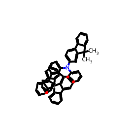 CC1(C)c2ccccc2-c2ccc(N(c3ccccc3)c3cccc(-c4ccccc4)c3-c3cccc4c3[Si]3(c5ccccc5-c5ccccc53)c3ccccc3-4)cc21